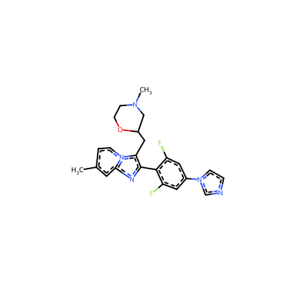 Cc1ccn2c(CC3CN(C)CCO3)c(-c3c(F)cc(-n4ccnc4)cc3F)nc2c1